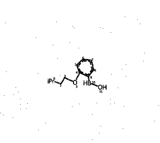 CC(C)CCOc1ccccc1BO